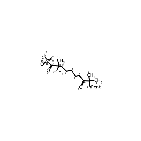 CCCCCC(C)(C)C(=O)CCCCCC(C)(C)C(=O)S(N)(=O)=O